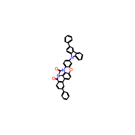 O=c1c2ccc(-c3ccccc3)cc2c2ccc3oc4cc(-n5c6ccccc6c6cc(-c7ccccc7)ccc65)ccc4n4c(=O)n1c2c34